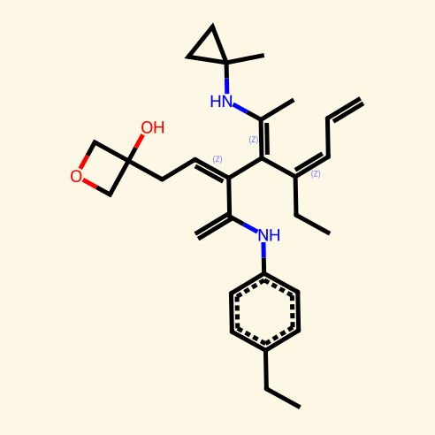 C=C\C=C(CC)/C(C(=C/CC1(O)COC1)/C(=C)Nc1ccc(CC)cc1)=C(\C)NC1(C)CC1